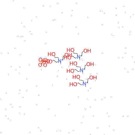 C[N+](CCO)(CCO)CCO.C[N+](CCO)(CCO)CCO.C[N+](CCO)(CCO)CCO.C[N+](CCO)(CCO)CCO.O=P([O-])([O-])[O-].[OH-]